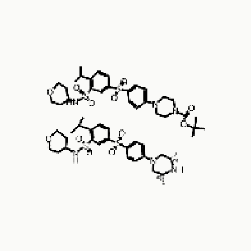 CC(C)c1ccc(S(=O)(=O)c2ccc(N3CCN(C(=O)OC(C)(C)C)CC3)cc2)cc1S(=O)(=O)NC1CCOCC1.CC(C)c1ccc(S(=O)(=O)c2ccc(N3C[C@@H](C)N[C@@H](C)C3)cc2)cc1S(=O)(=O)NC1CCOCC1